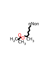 C=C(C)C(=O)OCC(C)CCCCCCCCCCCCCC